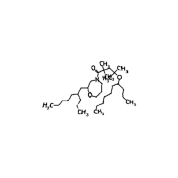 CCCCCCC(CCC)OC(C)(C)CC(C)(C)C(=O)N1CCCOC(CC(CCC)CCCCC)C1